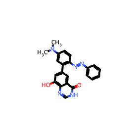 CN(C)c1ccc(N=Nc2ccccc2)c(-c2cc(O)c3nc[nH]c(=O)c3c2)c1